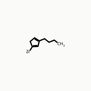 CCCCC1=CC[C]([Zr])=C1